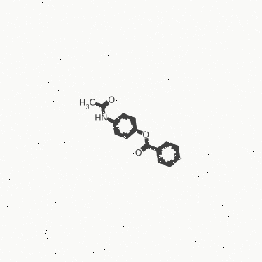 CC(=O)Nc1ccc(OC(=O)c2cc[c]cc2)cc1